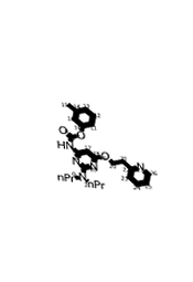 CCCN(CCC)c1nc(NC(=O)Oc2cccc(C)c2)cc(OCCc2ccccn2)n1